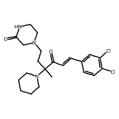 CC(CCN1CCNC(=O)C1)(C(=O)/C=C/c1ccc(Cl)c(Cl)c1)N1CCCCC1